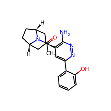 CC(=O)N1[C@@H]2CC[C@H]1C[C@H](c1cc(-c3ccccc3O)nnc1N)C2